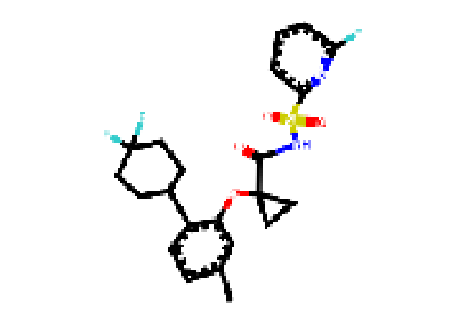 Cc1ccc(C2CCC(F)(F)CC2)c(OC2(C(=O)NS(=O)(=O)c3cccc(F)n3)CC2)c1